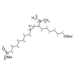 CCCCCCCCCCCCCCCCC(C1CC1CCCCCCCC(=O)OC)N(C)C